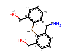 NCc1cccc(CO)c1Sc1ccccc1CO